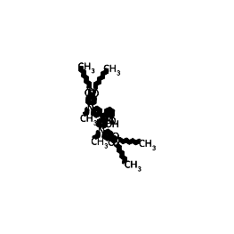 CCCCCCCCN(CCCCCCCC)S(=O)(=O)c1ccc(N(CCCC)c2ccc(C(c3ccc(N(CCCC)c4ccc(S(=O)(=O)N(CCCCCCCC)CCCCCCCC)cc4)cc3)c3ccccc3S(=O)(=O)O)cc2)cc1